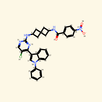 O=C(NC1CC2(C1)CC(Nc1ncc(Cl)c(-c3cn(-c4ccccc4)c4ccccc34)n1)C2)c1ccc([N+](=O)[O-])cc1